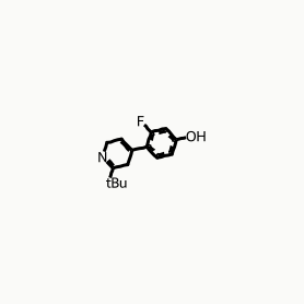 CC(C)(C)C1=NCC=C(c2ccc(O)cc2F)C1